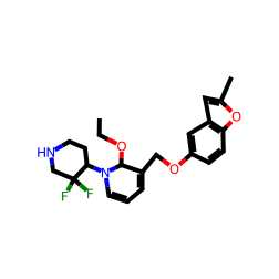 CCOC1C(COc2ccc3oc(C)cc3c2)=CC=CN1C1CCNCC1(F)F